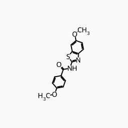 COc1ccc(C(=O)Nc2nc3ccc(OC)cc3s2)cc1